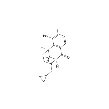 Cc1ccc2c(c1Br)[C@]1(C)CCN(CC3CC3)[C@H](C2=O)[C@@H]1C